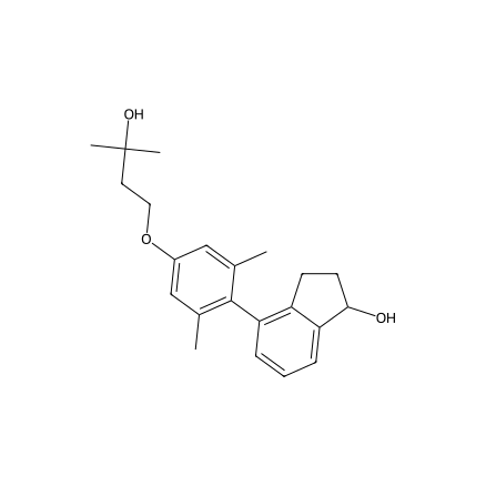 Cc1cc(OCCC(C)(C)O)cc(C)c1-c1cccc2c1CCC2O